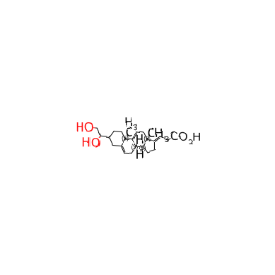 C[C@]12CCC(C(O)CO)CC1=CC[C@@H]1C2=CC[C@]2(C)C(=CCC(=O)O)CC[C@@H]12